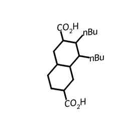 CCCCC1C(C(=O)O)CC2CCC(C(=O)O)CC2C1CCCC